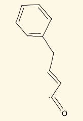 O=[C]/C=C/Cc1ccccc1